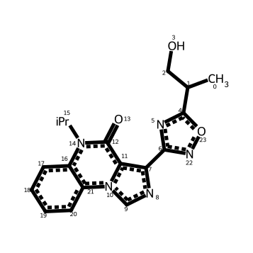 CC(CO)c1nc(-c2ncn3c2c(=O)n(C(C)C)c2ccccc23)no1